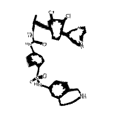 CC(NC(=O)Nc1ccc(S(=O)(=O)Nc2ccc3c(c2)CCNC3)cc1)c1ccc(-c2cnccn2)c(Cl)c1Cl